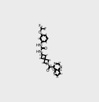 O=C(Nc1cccc(OC(F)F)c1)NC1CC2(C1)CN(C(=O)c1ncnc3ccsc13)C2